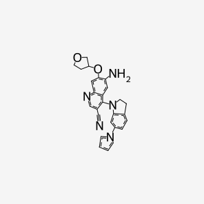 N#Cc1cnc2cc(OC3CCOC3)c(N)cc2c1N1CCc2ccc(-n3cccc3)cc21